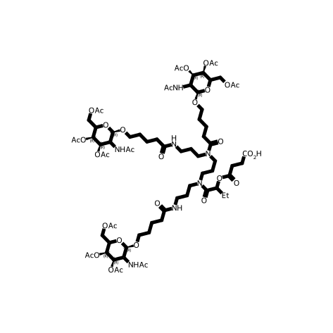 CCC(OC(=O)CCC(=O)O)C(=O)N(CCCNC(=O)CCCCO[C@@H]1OC(COC(C)=O)[C@H](OC(C)=O)[C@H](OC(C)=O)C1NC(C)=O)CCCN(CCCNC(=O)CCCCO[C@@H]1OC(COC(C)=O)[C@H](OC(C)=O)[C@H](OC(C)=O)C1NC(C)=O)C(=O)CCCCO[C@@H]1OC(COC(C)=O)[C@H](OC(C)=O)[C@H](OC(C)=O)C1NC(C)=O